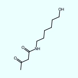 CC(=O)CC(=O)NCCCCCCO